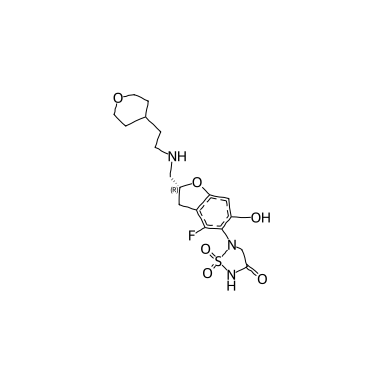 O=C1CN(c2c(O)cc3c(c2F)C[C@H](CNCCC2CCOCC2)O3)S(=O)(=O)N1